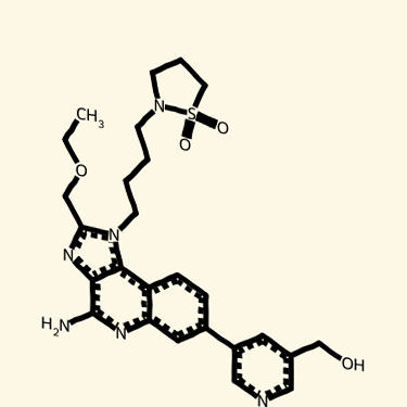 CCOCc1nc2c(N)nc3cc(-c4cncc(CO)c4)ccc3c2n1CCCCN1CCCS1(=O)=O